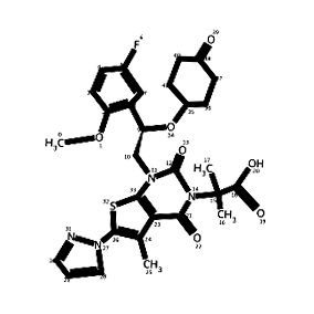 COc1ccc(F)cc1[C@H](Cn1c(=O)n(C(C)(C)C(=O)O)c(=O)c2c(C)c(-n3cccn3)sc21)OC1CCC(=O)CC1